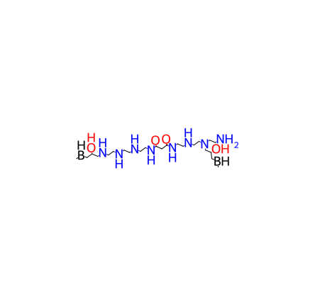 CBCC(O)CNCCNCCNCCNC(=O)CC(=O)NCCNCCN(CCN)CC(O)CBC